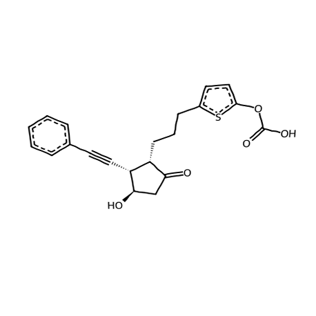 O=C(O)Oc1ccc(CCC[C@@H]2C(=O)C[C@@H](O)[C@@H]2C#Cc2ccccc2)s1